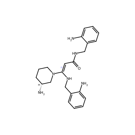 Nc1ccccc1CNC(=O)/C=C(\NCc1ccccc1N)N1CCC[C@@H](N)C1